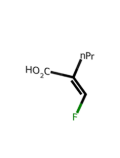 CCCC(=CF)C(=O)O